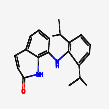 CC(C)c1cccc(C(C)C)c1Nc1cccc2ccc(=O)[nH]c12